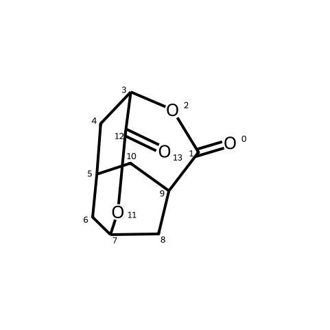 O=C1OC2CC3CC(CC1C3)OC2=O